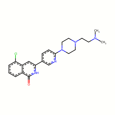 CN(C)CCN1CCN(c2ccc(-c3cc4c(Cl)cccc4c(=O)[nH]3)cn2)CC1